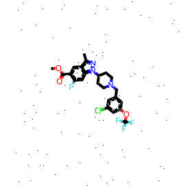 COC(=O)c1cc2c(C)nn(C3CCN(Cc4cc(Cl)cc(OC(F)(F)F)c4)CC3)c2cc1F